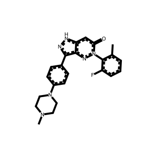 Cc1cccc(F)c1-n1nc2c(-c3ccc(N4CCN(C)CC4)cc3)n[nH]c2cc1=O